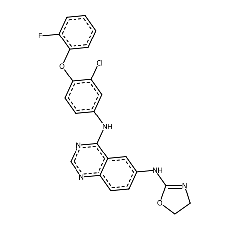 Fc1ccccc1Oc1ccc(Nc2ncnc3ccc(NC4=NCCO4)cc23)cc1Cl